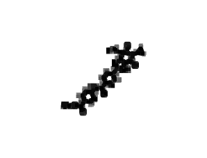 CCCn1c(=O)n(C2CC2)c(=O)c2[nH]c(-c3ccc(C(=O)Nc4ccc(C(=O)OC)cn4)nc3)nc21